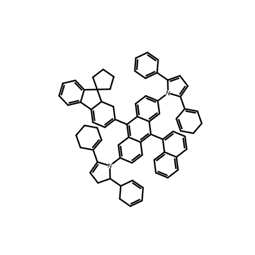 C1=CCC(C2CC=C(C3=CCCCC3)N2c2ccc3c(-c4cccc5ccccc45)c4cc(-n5c(C6=CCCC=C6)ccc5-c5ccccc5)ccc4c(C4=CC=C5c6ccccc6C6(CCCC6)C5C4)c3c2)C=C1